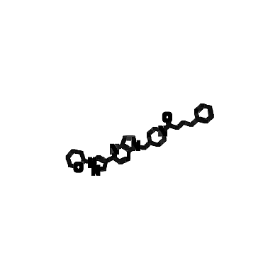 O=C(CCCc1ccccc1)N1CCC(Cn2ccc3nc(-c4cnn(C5CCCCO5)c4)ccc32)CC1